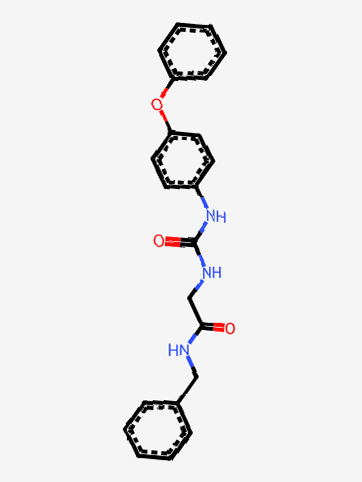 O=C(CNC(=O)Nc1ccc(Oc2ccccc2)cc1)NCc1ccccc1